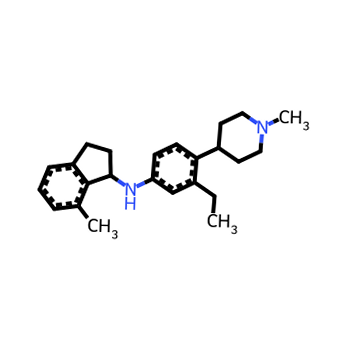 CCc1cc(NC2CCc3cccc(C)c32)ccc1C1CCN(C)CC1